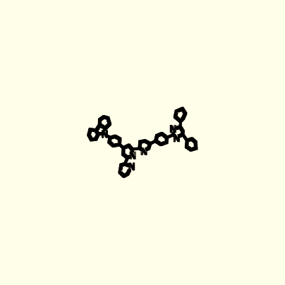 c1ccc(-c2cc(-c3ccccc3)nc(-c3ccc(-c4ccc(-c5cc(-c6ccc(-n7c8ccccc8c8ccccc87)cc6)cc(-c6ccccn6)n5)nc4)cc3)n2)cc1